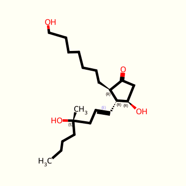 CCCC[C@](C)(O)C/C=C/[C@H]1[C@H](O)CC(=O)[C@@H]1CCCCCCCO